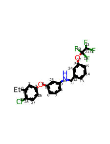 CCc1cc(Oc2cccc(NCc3cccc(OC(F)(F)C(F)F)c3)c2)ccc1Cl